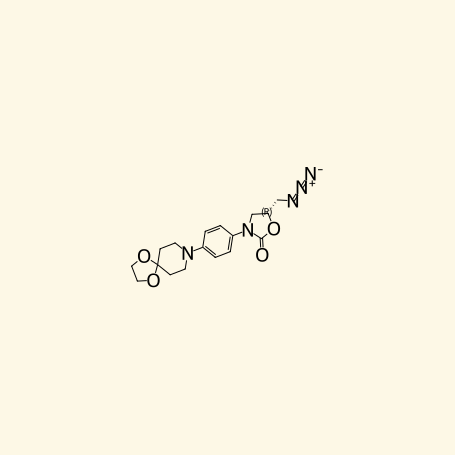 [N-]=[N+]=NC[C@H]1CN(c2ccc(N3CCC4(CC3)OCCO4)cc2)C(=O)O1